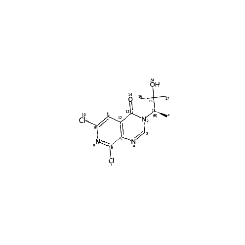 C[C@@H](n1cnc2c(Cl)nc(Cl)cc2c1=O)C(C)(C)O